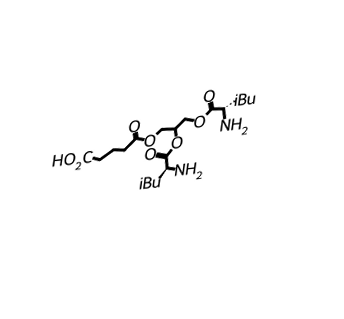 CCC(C)[C@H](N)C(=O)OCC(COC(=O)CCCC(=O)O)OC(=O)[C@@H](N)C(C)CC